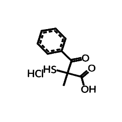 CC(S)(C(=O)O)C(=O)c1ccccc1.Cl